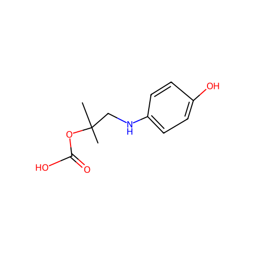 CC(C)(CNc1ccc(O)cc1)OC(=O)O